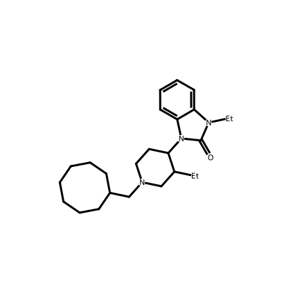 CCC1CN(CC2CCCCCCC2)CCC1n1c(=O)n(CC)c2ccccc21